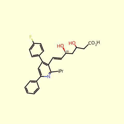 CC(C)c1nc(-c2ccccc2)cc(-c2ccc(F)cc2)c1C=C[C@@H](O)CC(O)CC(=O)O